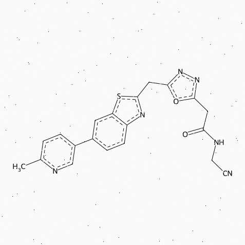 Cc1ccc(-c2ccc3nc(Cc4nnc(CC(=O)NCC#N)o4)sc3c2)cn1